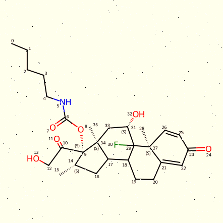 CCCCCNC(=O)O[C@@]1(C(=O)CO)[C@@H](C)CC2C3CCC4=CC(=O)C=C[C@]4(C)C3(F)[C@@H](O)C[C@@]21C